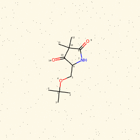 CC(C)(C)OCC1NC(=O)C(C)(C)C1=O